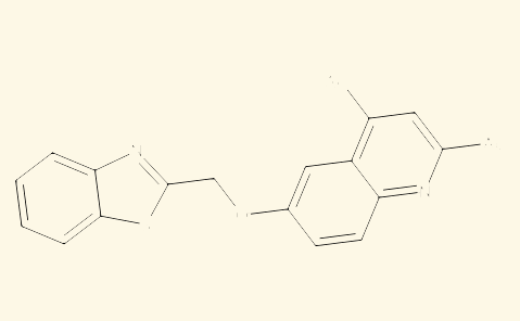 CC(=O)c1cc(C(C)=O)c2cc(OCc3nc4ccccc4s3)ccc2n1